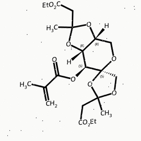 C=C(C)C(=O)O[C@H]1[C@@H]2OC(C)(CC(=O)OCC)O[C@@H]2CO[C@]12COC(C)(CC(=O)OCC)O2